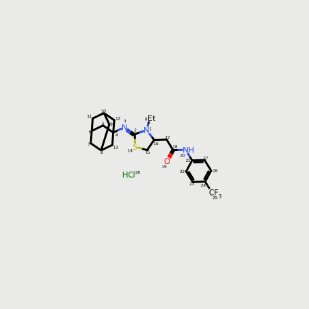 CCN1C(=NC23CC4CC(CC(C4)C2)C3)SCC1CC(=O)Nc1ccc(C(F)(F)F)cc1.Cl